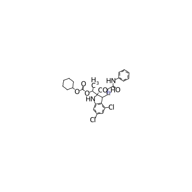 CC(OC(=O)OC1CCCCC1)C1(C(=O)O)Nc2cc(Cl)cc(Cl)c2C1/C=C/C(=O)Nc1ccccc1